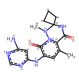 Cc1cc(Nc2cc(N)ncn2)c(=O)n2c1C(=O)NC1(CCC1)N2C